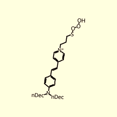 CCCCCCCCCCN(CCCCCCCCCC)c1ccc(C=Cc2cc[n+](CCCSOOO)cc2)cc1